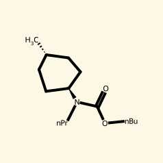 CCCCOC(=O)N(CCC)[C@H]1CC[C@H](C)CC1